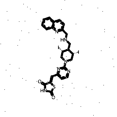 O=C1NC(=O)/C(=C/c2ccnc(N3C[C@@H](I)C(CNCc4ccc5ccccc5n4)[C@@H](I)C3)n2)S1